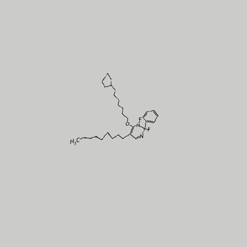 CCCCCCCCCC1=C(OCCCCCCCC2CCCC2)N(F)C(F)(c2ccccc2)N=C1